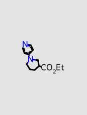 CCOC(=O)C1CCCN(c2ccncc2)C1